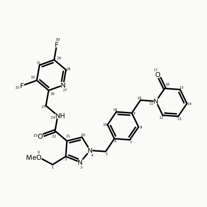 COCc1nn(Cc2ccc(Cn3ccccc3=O)cc2)cc1C(=O)NCc1ncc(F)cc1F